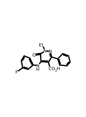 CCn1nc(-c2ccccc2)c(C(=O)O)c(Nc2cccc(F)c2)c1=O